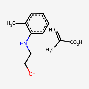 C=C(C)C(=O)O.Cc1ccccc1NCCO